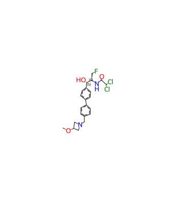 COC1CN(Cc2ccc(-c3ccc([C@H](O)[C@@H](CF)NC(=O)C(Cl)Cl)cc3)cc2)C1